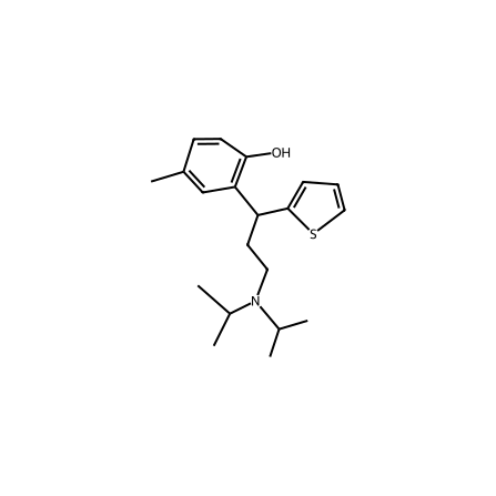 Cc1ccc(O)c(C(CCN(C(C)C)C(C)C)c2cccs2)c1